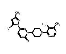 Cc1cc(C)n(-c2ccc(=O)n(C3CCN(c4ncnc(C)c4C)CC3)n2)n1